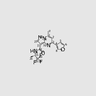 Cc1cc(-c2ccoc2)nc2c(C(=O)N[C@H](C)C(F)(F)F)cnn12